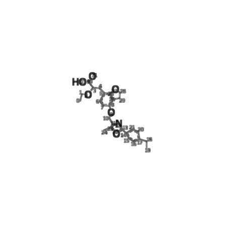 CCOC(Cc1ccc(OCc2nc(-c3ccc(CC)cc3)oc2C)c2c1OCC2)C(=O)O